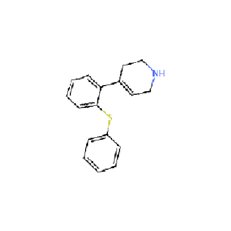 C1=C(c2ccccc2Sc2ccccc2)CCNC1